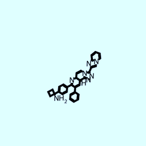 NC1(c2ccc(C3=NC4C=Cn5c(-c6cn7ccccc7n6)nnc5[C@@H]4C=C3c3ccccc3)cc2)CCC1